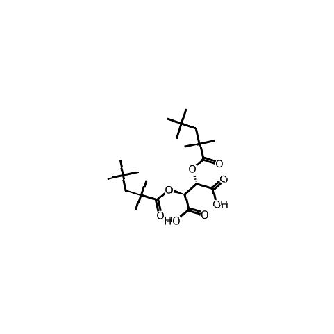 CC(C)(C)CC(C)(C)C(=O)O[C@H](C(=O)O)[C@H](OC(=O)C(C)(C)CC(C)(C)C)C(=O)O